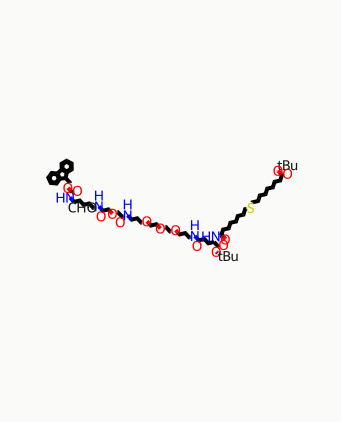 CC(C)(C)OC(=O)CCCCCCCCSCCCCCCCC(=O)NC(CCC(=O)NCCCOCCOCCOCCCNC(=O)COCC(=O)NCCCCC([C]=O)NC(=O)OCC1c2ccccc2-c2ccccc21)C(=O)OC(C)(C)C